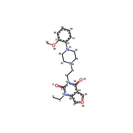 CCn1c(=O)n(CCN2CCN(c3ccccc3OC)CC2)c(=O)c2cocc21